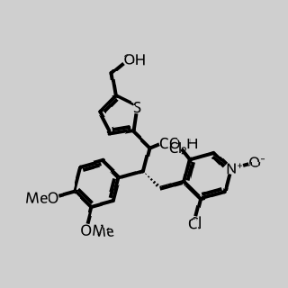 COc1ccc([C@@H](Cc2c(Cl)c[n+]([O-])cc2Cl)C(C(=O)O)c2ccc(CO)s2)cc1OC